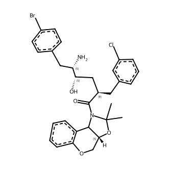 CC1(C)O[C@@H]2COc3ccccc3C2N1C(=O)[C@H](Cc1cccc(Cl)c1)C[C@H](O)[C@@H](N)Cc1ccc(Br)cc1